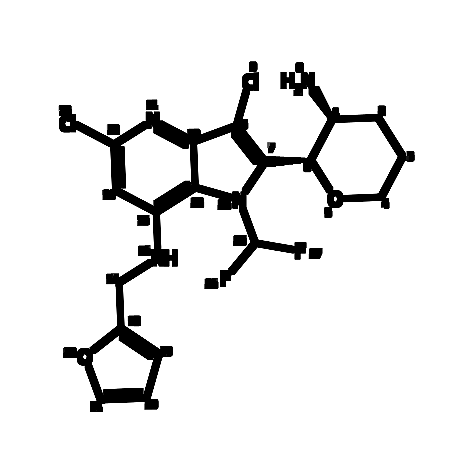 N[C@H]1CCCO[C@@H]1c1c(Cl)c2nc(Cl)cc(NCc3ccco3)c2n1C(F)F